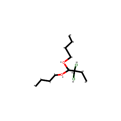 CCCCOC(OCCCC)C(Cl)(Cl)CC